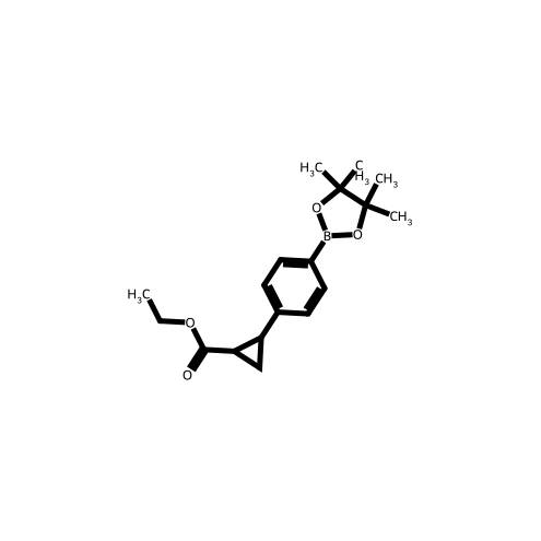 CCOC(=O)C1CC1c1ccc(B2OC(C)(C)C(C)(C)O2)cc1